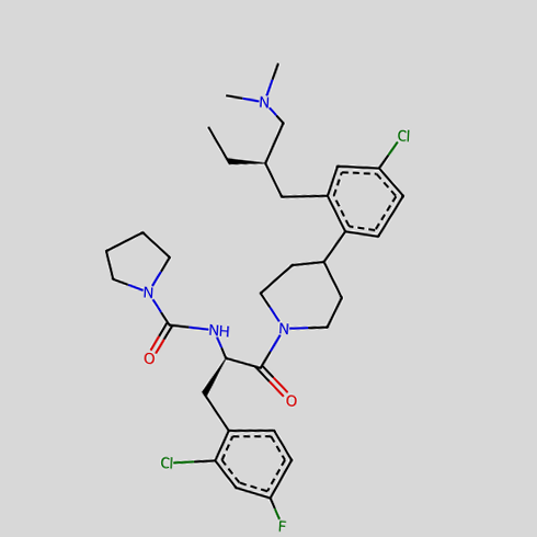 CC[C@H](Cc1cc(Cl)ccc1C1CCN(C(=O)[C@@H](Cc2ccc(F)cc2Cl)NC(=O)N2CCCC2)CC1)CN(C)C